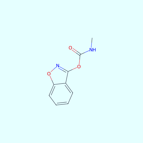 CNC(=O)Oc1noc2ccccc12